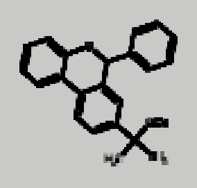 COC(C)(N)c1ccc2c(c1)C(c1ccccc1)Oc1ccccc1-2